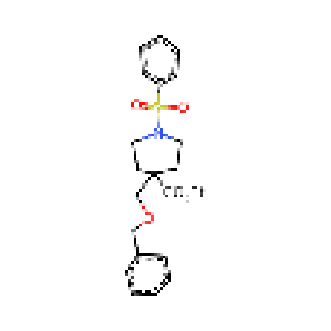 CCOC(=O)C1(COCc2ccccc2)CCN(S(=O)(=O)c2ccccc2)CC1